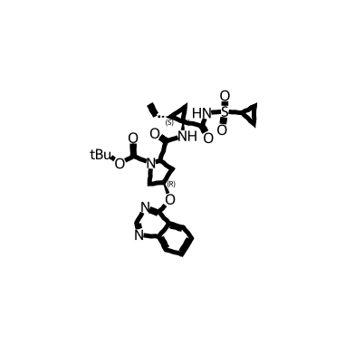 C=C[C@@H]1C[C@]1(NC(=O)C1C[C@@H](Oc2ncnc3ccccc23)CN1C(=O)OC(C)(C)C)C(=O)NS(=O)(=O)C1CC1